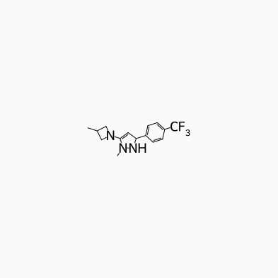 CC1CN(C2=CC(c3ccc(C(F)(F)F)cc3)NN2C)C1